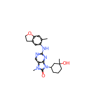 Cc1cc2c(cc1Nc1ncc3c(n1)n(C1CCCC(C)(O)C1)c(=O)n3C)CCO2